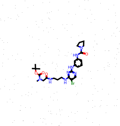 CN(CC(=O)NCCCNc1nc(Nc2cccc(NC(=O)N3CCCC3)c2)ncc1Br)C(=O)OC(C)(C)C